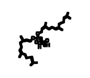 CC(=C=COP(=O)(OCC=C(C)CCC=C(C)CCC=C(C)C)OP(=O)(O)O)CCC=C(C)CCC=C(C)C